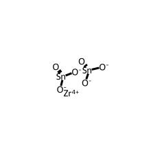 [O]=[Sn]([O-])[O-].[O]=[Sn]([O-])[O-].[Zr+4]